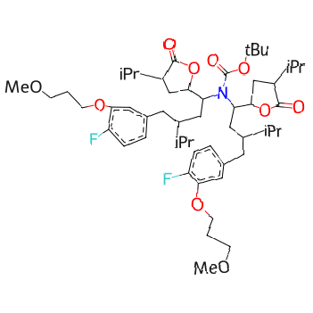 COCCCOc1cc(CC(CC(C2CC(C(C)C)C(=O)O2)N(C(=O)OC(C)(C)C)C(CC(Cc2ccc(F)c(OCCCOC)c2)C(C)C)C2CC(C(C)C)C(=O)O2)C(C)C)ccc1F